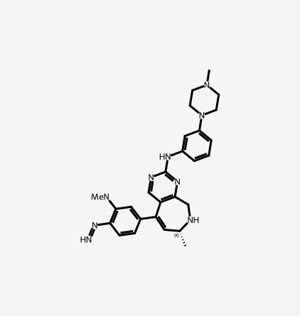 CNc1cc(C2=C[C@@H](C)NCc3nc(Nc4cccc(N5CCN(C)CC5)c4)ncc32)ccc1N=N